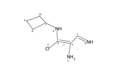 N=C/C(N)=C(/Cl)NC1CCC1